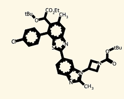 CCOC(=O)C(OC(C)(C)C)c1c(C)cc2nc(-c3ccc4nc(C)n(C5CN(C(=O)OC(C)(C)C)C5)c4c3)sc2c1-c1ccc(Cl)cc1